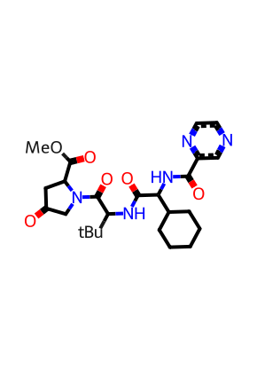 COC(=O)C1CC(=O)CN1C(=O)C(NC(=O)C(NC(=O)c1cnccn1)C1CCCCC1)C(C)(C)C